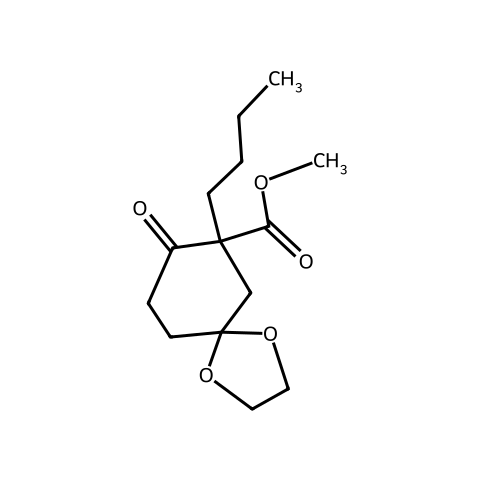 CCCCC1(C(=O)OC)CC2(CCC1=O)OCCO2